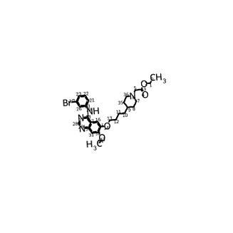 CCOC(=O)CN1CCC(CCCCOc2cc3c(Nc4cccc(Br)c4)ncnc3cc2OC)CC1